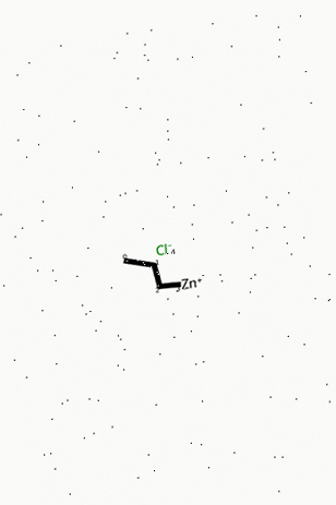 CC[CH2][Zn+].[Cl-]